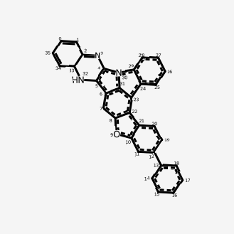 C1=CC2=Nc3c(c4cc5oc6cc(-c7ccccc7)ccc6c5c5c6ccccc6n3c45)NC2C=C1